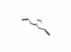 C=CCOCC=C.N